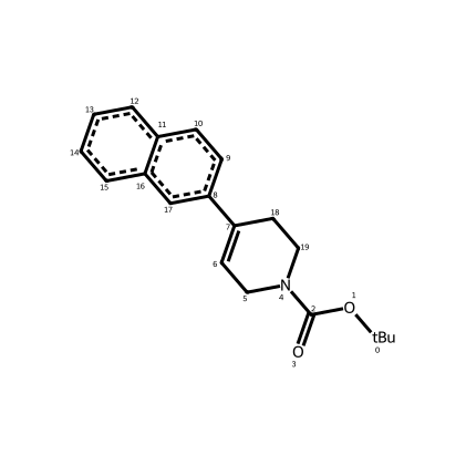 CC(C)(C)OC(=O)N1CC=C(c2ccc3ccccc3c2)CC1